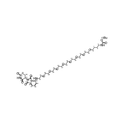 CC(C)(C)OC(=O)NCCCCOCCOCCOCCOCCOCCOCCOCCOCCNc1cccc2c1C(=O)N(C1CCC(=O)NC1=O)C2=O